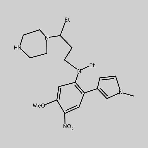 CCC(CCN(CC)c1cc(OC)c([N+](=O)[O-])cc1-c1ccn(C)c1)N1CCNCC1